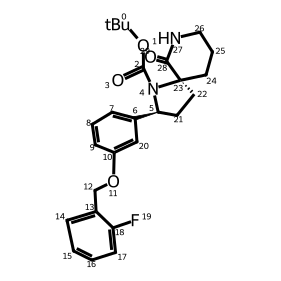 CC(C)(C)OC(=O)N1[C@H](c2cccc(OCc3ccccc3F)c2)CC[C@]12CCCNC2=O